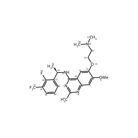 COc1cc2nc(C)nc(N[C@H](C)c3cccc(C(F)(F)F)c3F)c2cc1OCCN(C)C